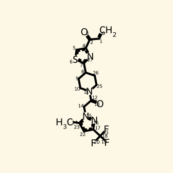 C=CC(=O)c1csc(C2CCN(C(=O)Cn3nc(C(F)(F)F)cc3C)CC2)n1